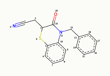 N#CCC1Sc2ccccc2N(Cc2ccccc2)C1=O